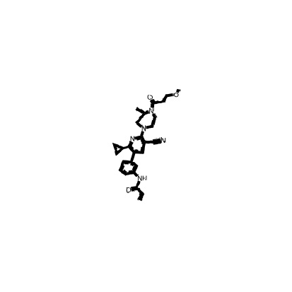 C=CC(=O)Nc1cccc(-c2cc(C#N)c(N3CCN(C(=O)CCOC)C(C)C3)nc2C2CC2)c1